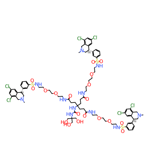 CN1Cc2c(Cl)cc(Cl)cc2[C@H](c2cccc(S(=O)(=O)NCCOCCOCCNC(=O)CCC(CCC(=O)NCCOCCOCCNS(=O)(=O)c3cccc([C@@H]4CN(C)Cc5c(Cl)cc(Cl)cc54)c3)(CCC(=O)NCCOCCOCCNS(=O)(=O)c3cccc([C@@H]4CN(C)Cc5c(Cl)cc(Cl)cc54)c3)NC(=O)NC(CO)(CO)CO)c2)C1